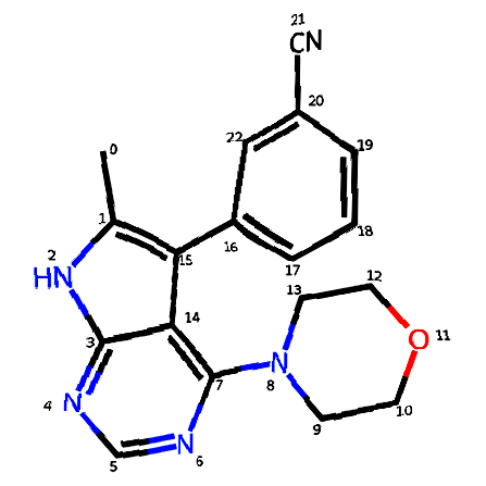 Cc1[nH]c2ncnc(N3CCOCC3)c2c1-c1cccc(C#N)c1